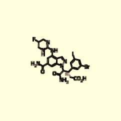 NC(=O)c1cc(NC2=NCC(F)CN2)c2cnn(C(C(N)=O)[C@@H](CC(=O)O)c3cc(Br)cc(I)c3)c2c1